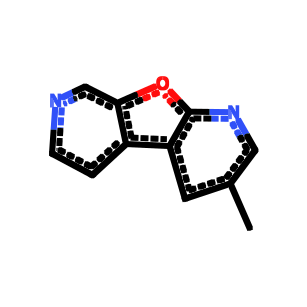 Cc1cnc2oc3cnccc3c2c1